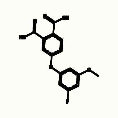 COc1cc(F)cc(Oc2ccc(C(=O)O)c(C(=O)O)c2)c1